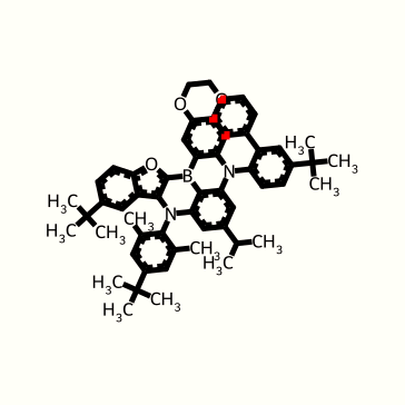 Cc1cc(C(C)(C)C)cc(C)c1N1c2cc(C(C)C)cc3c2B(c2cc4c(cc2N3c2ccc(C(C)(C)C)cc2-c2ccccc2)OCCO4)c2oc3ccc(C(C)(C)C)cc3c21